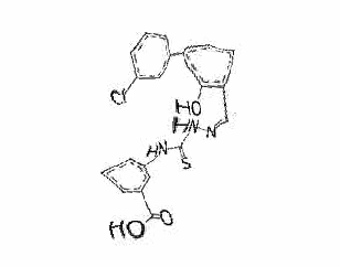 O=C(O)c1cccc(NC(=S)N/N=C\c2cccc(-c3cccc(Cl)c3)c2O)c1